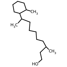 CC(CCO)CCCCCC(C)C1CCCCC1C